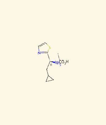 CC(=O)O.N[C@@H](CC1CC1)c1nccs1